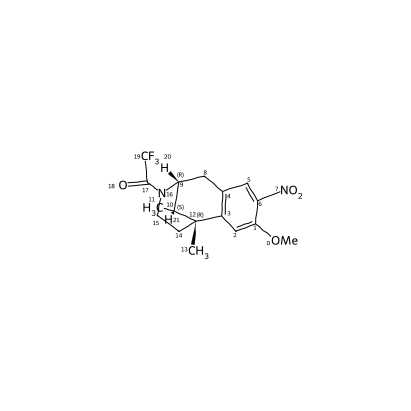 COc1cc2c(cc1[N+](=O)[O-])C[C@@H]1[C@@H](C)[C@@]2(C)CCN1C(=O)C(F)(F)F